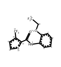 O=C(Nc1ccccc1OCC(F)(F)F)c1sccc1C(F)(F)F